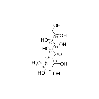 C[C@@H]1OC(C(=O)[C@H](O)[C@@H](O)[C@@H](O)[C@H](O)CO)[C@@H](O)[C@H](O)[C@@H]1O